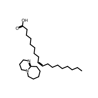 C1CCC2=NCCCN2CC1.CCCCCCCC/C=C\CCCCCCCC(=O)O